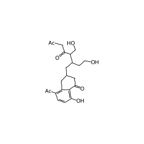 CC(=O)CC(=O)C(CO)C(CCO)CC1CC(=O)c2c(O)ccc(C(C)=O)c2C1